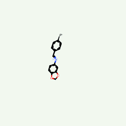 CC(C)c1ccc(/C=N/c2ccc3c(c2)OCO3)cc1